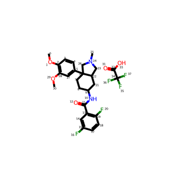 COc1ccc(C23CCC(NC(=O)c4cc(F)ccc4F)CC2CN(C)C3)cc1OC.O=C(O)C(F)(F)F